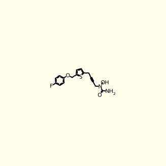 NC(=O)N(O)CC#CCc1ccc(COc2ccc(F)cc2)s1